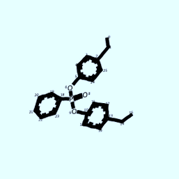 CCc1ccc(OP(=O)(Oc2ccc(CC)cc2)c2ccccc2)cc1